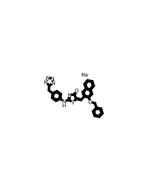 O=C1N=C(Nc2ccc(CC3N=NN=N3)cc2)SC1=Cc1cc2ccccc2cc1OCc1ccccc1.[Na]